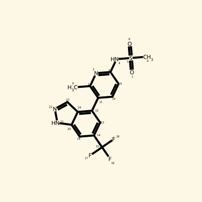 Cc1nc(NS(C)(=O)=O)ccc1-c1cc(C(F)(F)F)cc2[nH]ncc12